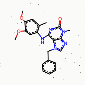 COc1cc(C)c(Nc2nc(=O)n(C)c3ncn(Cc4ccccc4)c23)cc1OC